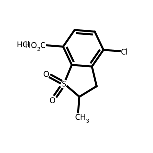 CC1Cc2c(Cl)ccc(C(=O)O)c2S1(=O)=O.Cl